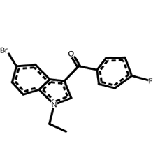 CCn1cc(C(=O)c2ccc(F)cc2)c2cc(Br)ccc21